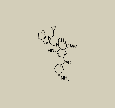 COc1cc(C(=O)N2CCC[C@@H](N)C2)cc2c1N(C)C(c1cc3ccoc3n1CC1CC1)N2